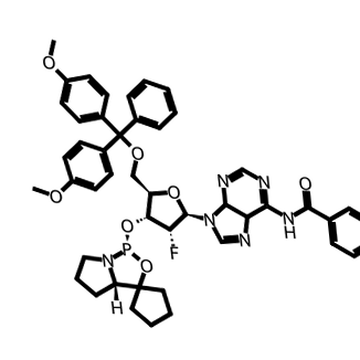 COc1ccc(C(OC[C@H]2O[C@@H](N3C=NC4C(NC(=O)c5ccccc5)=NC=NC43)[C@H](F)[C@@H]2O[P@]2OC3(CCCC3)[C@@H]3CCCN32)(c2ccccc2)c2ccc(OC)cc2)cc1